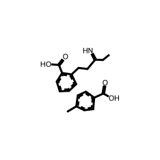 CCC(=N)CCc1ccccc1C(=O)O.Cc1ccc(C(=O)O)cc1